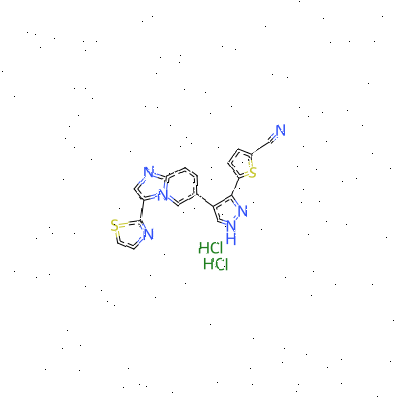 Cl.Cl.N#Cc1ccc(-c2n[nH]cc2-c2ccc3ncc(-c4nccs4)n3c2)s1